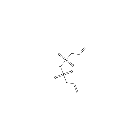 C=CCS(=O)(=O)[CH]S(=O)(=O)CC=C